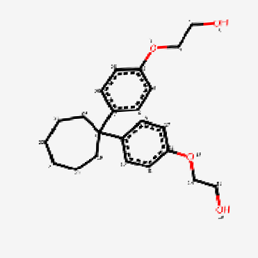 OCCOc1ccc(C2(c3ccc(OCCO)cc3)CCCCCC2)cc1